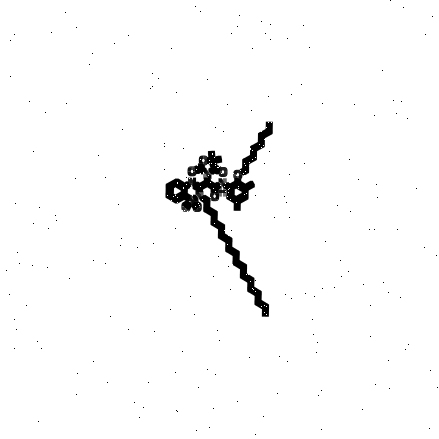 CCCCCCCCCCCCCCCCCCN1C(C(C(=O)Nc2cc(C)cc(C)c2OCCCCCCCC)N2C(=O)OC(C)(C)C2=O)=Nc2ccccc2S1(=O)=O